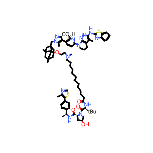 Cc1ncsc1-c1ccc([C@H](C)NC(=O)[C@@H]2C[C@@H](O)CN2C(=O)[C@@H](NC(=O)CCCCCCCCCCCCN(C)CCOC23CC4(C)CC(C)(CC(Cn5ncc(-c6ccc(N7CCCc8c7nnc(Nc7nc9ccccc9s7)c8C)nc6C(=O)O)c5C)(C4)C2)C3)C(C)(C)C)cc1